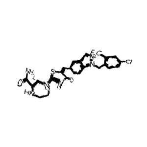 NC(=O)C1CN(C2=NC(=O)/C(=C\c3ccc4c(cnn4Cc4ccc(Cl)cc4C(F)(F)F)c3)S2)CCN1